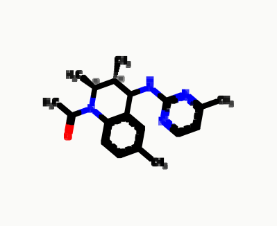 CC(=O)N1c2ccc(C)cc2C(Nc2nccc(C)n2)[C@@H](C)[C@@H]1C